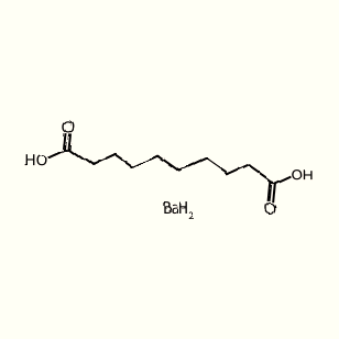 O=C(O)CCCCCCCCC(=O)O.[BaH2]